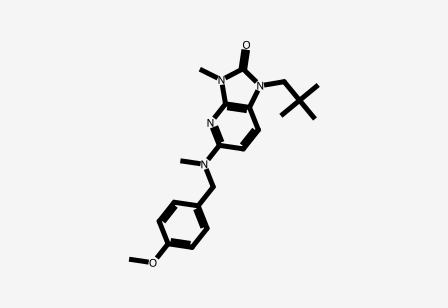 COc1ccc(CN(C)c2ccc3c(n2)n(C)c(=O)n3CC(C)(C)C)cc1